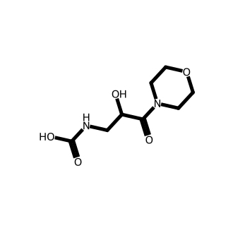 O=C(O)NCC(O)C(=O)N1CCOCC1